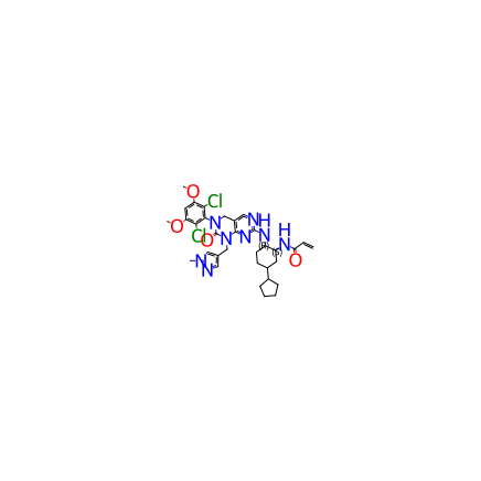 C=CC(=O)N[C@H]1CC(C2CCCC2)CC[C@H]1Nc1ncc2c(n1)N(Cc1cnn(C)c1)C(=O)N(c1c(Cl)c(OC)cc(OC)c1Cl)C2